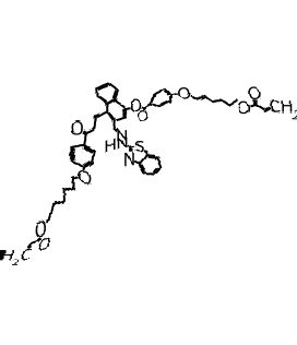 C=CC(=O)OCCCCCCOc1ccc(C(=O)CCc2c(/C=N/Nc3nc4ccccc4s3)cc(OC(=O)c3ccc(OCCCCCCOC(=O)C=C)cc3)c3ccccc23)cc1